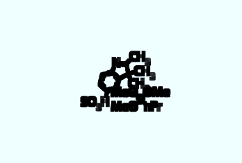 CC1=Nc2ccc(S(=O)(=O)O)cc2C1(C)C.CCC[Si](OC)(OC)OC